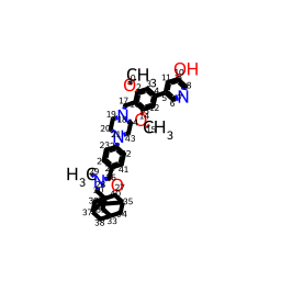 COc1cc(-c2cncc(O)c2)cc(OC)c1CN1CCN(c2ccc(C(=O)N(C)CC34CC5CC(CC(C5)C3)C4)cc2)CC1